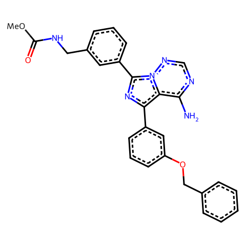 COC(=O)NCc1cccc(-c2nc(-c3cccc(OCc4ccccc4)c3)c3c(N)ncnn23)c1